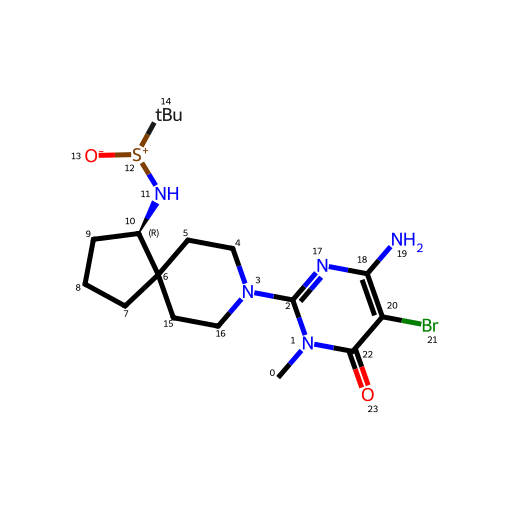 Cn1c(N2CCC3(CCC[C@H]3N[S+]([O-])C(C)(C)C)CC2)nc(N)c(Br)c1=O